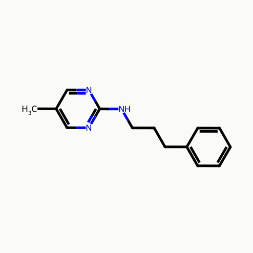 Cc1cnc(NCCCc2ccccc2)nc1